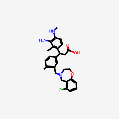 CNc1ccc(C(CC(=O)O)c2ccc(C)c(CN3CCOc4cccc(F)c4C3)c2)c(C)c1N